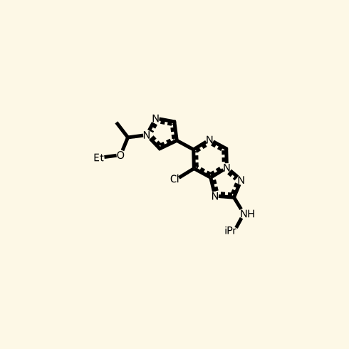 CCOC(C)n1cc(-c2ncn3nc(NC(C)C)nc3c2Cl)cn1